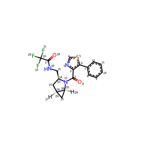 O=C(c1ncsc1-c1ccccc1)N1[C@H](CNC(=O)C(F)(F)F)C[C@@H]2C[C@@H]21